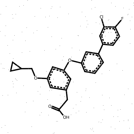 O=C(O)Cc1cc(OCC2CC2)cc(Oc2cccc(-c3ccc(F)c(Cl)c3)c2)c1